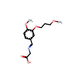 COCCCOc1cc(/C=N/CC(=O)O)ccc1OC